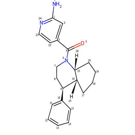 Nc1cc(C(=O)N2CC[C@H](c3ccccc3)[C@H]3CCCC[C@H]32)ccn1